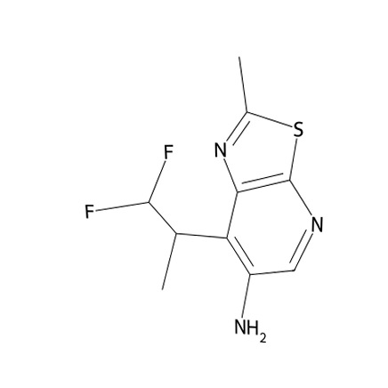 Cc1nc2c(C(C)C(F)F)c(N)cnc2s1